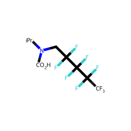 CC(C)N(CC(F)(F)C(F)(F)C(F)(F)C(F)(F)F)C(=O)O